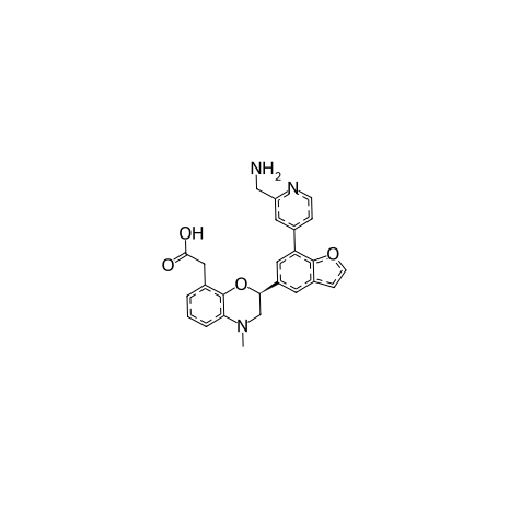 CN1C[C@H](c2cc(-c3ccnc(CN)c3)c3occc3c2)Oc2c(CC(=O)O)cccc21